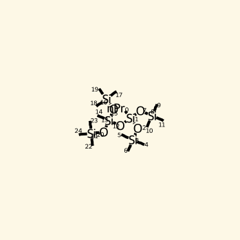 CCC[Si](O[Si](C)(C)C)(O[Si](C)(C)C)O[Si](C)(O[Si](C)(C)C)O[Si](C)(C)C